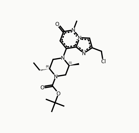 CC[C@@H]1CN(c2cc(=O)n(C)n3cc(CCl)nc23)[C@@H](C)CN1C(=O)OC(C)(C)C